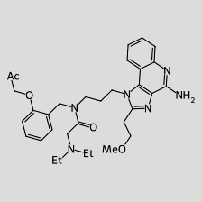 CCN(CC)CC(=O)N(CCCn1c(CCOC)nc2c(N)nc3ccccc3c21)Cc1ccccc1OCC(C)=O